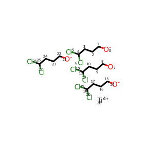 [O-]CCCC(Cl)Cl.[O-]CCCC(Cl)Cl.[O-]CCCC(Cl)Cl.[O-]CCCC(Cl)Cl.[Ti+4]